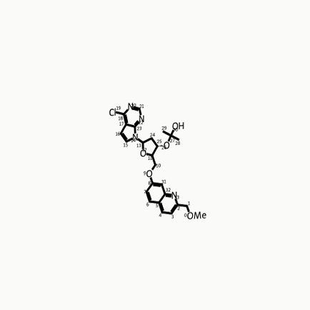 COCc1ccc2ccc(OCC3OC(n4ccc5c(Cl)ncnc54)C[C@@H]3OC(C)(C)O)cc2n1